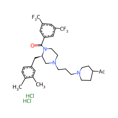 CC(=O)C1CCN(CCCN2CCN(C(=O)c3cc(C(F)(F)F)cc(C(F)(F)F)c3)[C@H](Cc3ccc(C)c(C)c3)C2)CC1.Cl.Cl